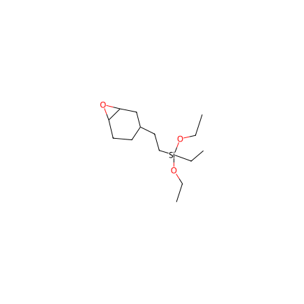 CCO[Si](CC)(CCC1CCC2OC2C1)OCC